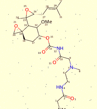 CNCC(=O)NCCN(C)CC(=O)NC(=O)OC1CC[C@]2(CO2)C(C2(C)O[C@@H]2CC=C(C)C)C1OC